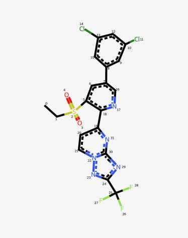 CCS(=O)(=O)c1cc(-c2cc(Cl)cc(Cl)c2)cnc1-c1ccn2nc(C(F)(F)F)nc2n1